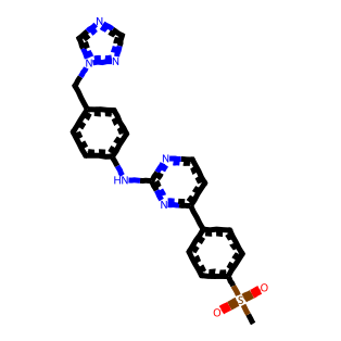 CS(=O)(=O)c1ccc(-c2ccnc(Nc3ccc(Cn4cncn4)cc3)n2)cc1